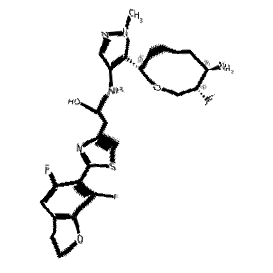 Cn1ncc(NC(O)c2csc(-c3c(F)cc4c(c3F)OCC4)n2)c1[C@@H]1CC[C@@H](N)[C@H](F)CO1